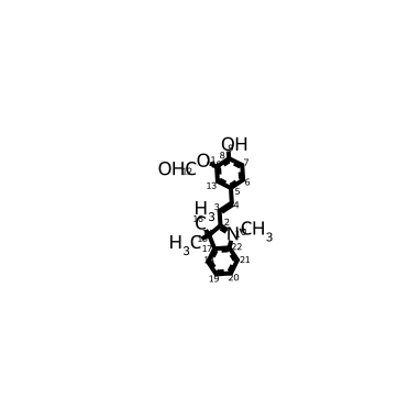 C[N+]1=C(/C=C/c2ccc(O)c(OC=O)c2)C(C)(C)c2ccccc21